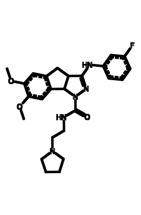 COc1cc2c(cc1OC)C1C(C2)C(Nc2cccc(F)c2)=NN1C(=O)NCCN1CCCC1